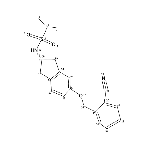 CC(C)S(=O)(=O)N[C@H]1Cc2ccc(OCc3ccccc3C#N)cc2C1